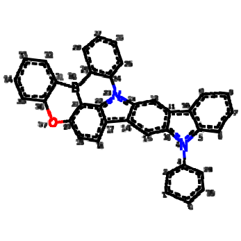 c1ccc(-n2c3ccccc3c3cc4c(cc32)c2ccc3c5c2n4-c2ccccc2B5c2ccccc2O3)cc1